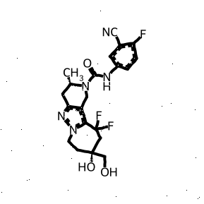 C[C@@H]1Cc2nn3c(c2CN1C(=O)Nc1ccc(F)c(C#N)c1)C(F)(F)C[C@](O)(CO)CC3